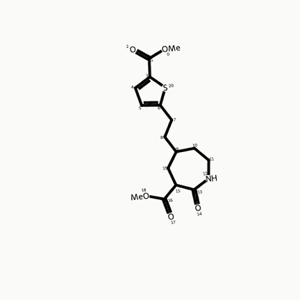 COC(=O)c1[c]cc(CCC2CCNC(=O)C(C(=O)OC)C2)s1